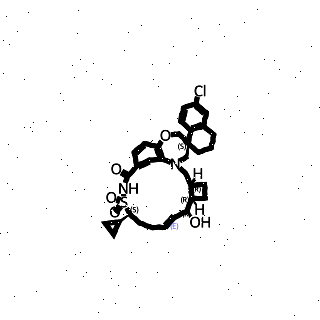 O=C1NS(=O)(=O)[C@H](C2CC2)CC/C=C/[C@H](O)[C@@H]2CC[C@H]2CN2C[C@@]3(CCCc4cc(Cl)ccc43)COc3ccc1cc32